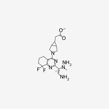 COC(=O)CC1C2CN(c3nc(/C(=C/N)N(C)N)nc4c3CCCC4(F)F)CC12